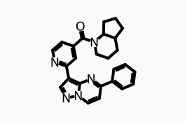 O=C(c1ccnc(-c2cnn3ccc(-c4ccccc4)nc23)c1)N1CCCC2CCCC21